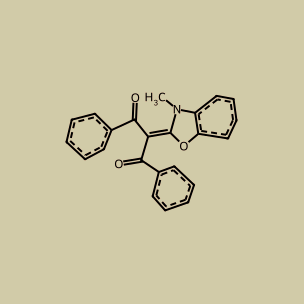 CN1C(=C(C(=O)c2ccccc2)C(=O)c2ccccc2)Oc2ccccc21